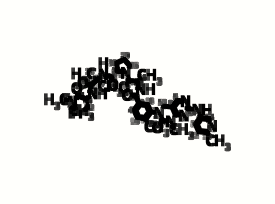 Cc1ccc(Nc2ncc3c(n2)N(C)C(=O)N(c2cc(C(=O)N[C@@H](C)C(=O)N4CCC[C@H]4C(=O)NC(C)(C)C(=O)N[C@@H](CC(C)C)C(=O)N(C)C)ccc2C)C3)cn1